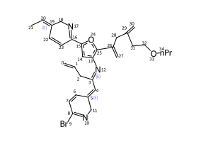 C=CCC(/C=C1\C=CC(Br)=NC1)=N\c1cc(C2=NC/C(=C/C)C=C2)oc1C(=C)CC(=C)CCOCCC